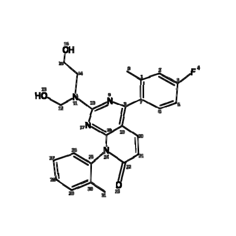 Cc1cc(F)ccc1-c1nc(N(CO)CCO)nc2c1ccc(=O)n2-c1ccccc1C